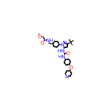 COCC(=O)NCc1ccc(-n2nc(C(C)(C)C)cc2NC(=O)Nc2ccc(Oc3ccncc3)cc2)cc1